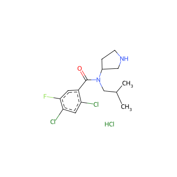 CC(C)CN(C(=O)c1cc(F)c(Cl)cc1Cl)C1CCNC1.Cl